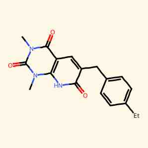 CCc1ccc(Cc2cc3c(=O)n(C)c(=O)n(C)c3[nH]c2=O)cc1